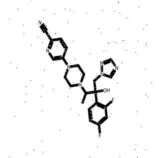 CC(N1CCN(c2ccc(C#N)nc2)CC1)C(O)(Cn1cncn1)c1ccc(F)cc1F